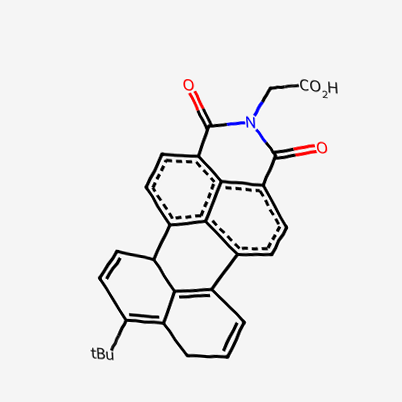 CC(C)(C)C1=C2CC=CC3=C2C(C=C1)c1ccc2c4c(ccc3c14)C(=O)N(CC(=O)O)C2=O